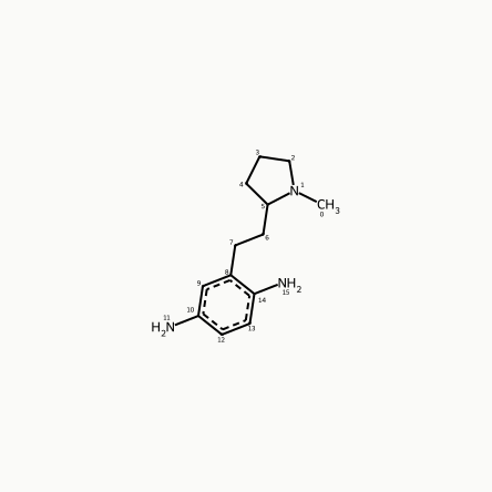 CN1CCCC1CCc1cc(N)ccc1N